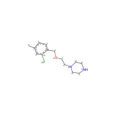 Cc1ccc(COCCN2CCNCC2)c(F)c1